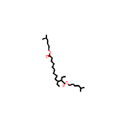 CCC(CCCCCCCCC(=O)OCCCCC(C)C)C(CC)C(=O)OCCCCC(C)C